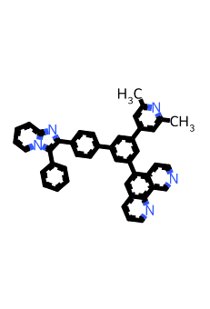 Cc1cc(-c2cc(-c3ccc(-c4nc5ccccn5c4-c4ccccc4)cc3)cc(-c3cc4cccnc4c4cnccc34)c2)cc(C)n1